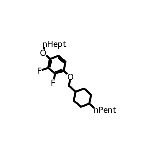 CCCCCCCOc1ccc(OCC2CCC(CCCCC)CC2)c(F)c1F